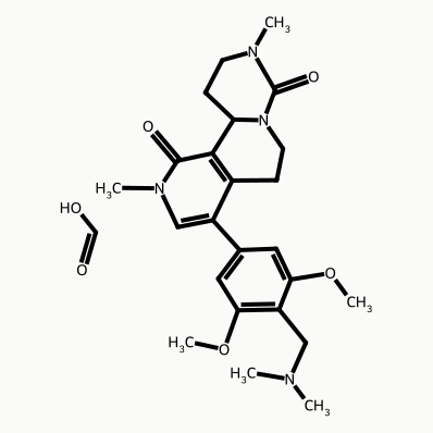 COc1cc(-c2cn(C)c(=O)c3c2CCN2C(=O)N(C)CCC32)cc(OC)c1CN(C)C.O=CO